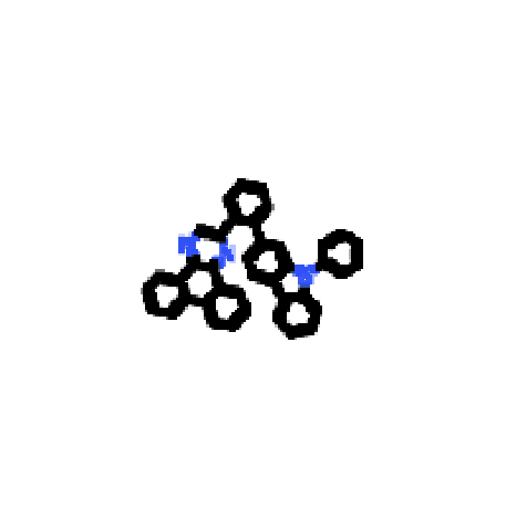 c1ccc(-n2c3ccccc3c3ccc(-c4ccccc4-c4cnc5c6ccccc6c6ccccc6c5n4)cc32)cc1